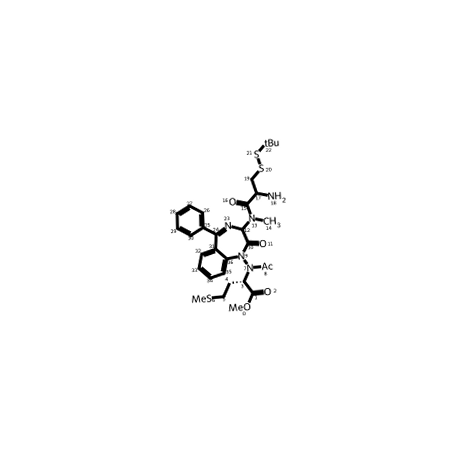 COC(=O)[C@H](CCSC)N(C(C)=O)N1C(=O)C(N(C)C(=O)C(N)CSSC(C)(C)C)N=C(c2ccccc2)c2ccccc21